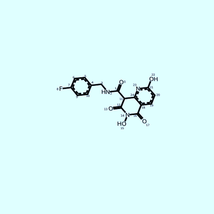 O=C(NCc1ccc(F)cc1)C1C(=O)N(O)C(=O)c2ccc(O)nc21